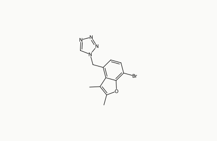 Cc1oc2c(Br)ccc(Cn3cnnn3)c2c1C